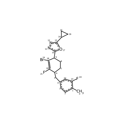 Cc1ccc(CC2CCC(c3nnc(C4CC4)o3)C(Br)=C2F)cc1F